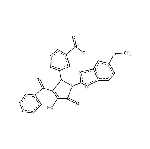 COc1ccc2nc(N3C(=O)C(O)=C(C(=O)c4cccnc4)C3c3cccc([N+](=O)[O-])c3)sc2c1